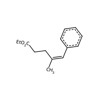 CCOC(=O)CCC(C)=Cc1ccccc1